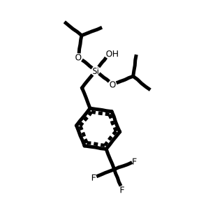 CC(C)O[Si](O)(Cc1ccc(C(F)(F)F)cc1)OC(C)C